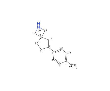 FC(F)(F)c1ccc(C2CCC3(CNC3)C2)cc1